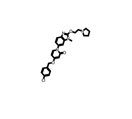 Cn1c(OCCN2CCCC2)nc2ccc(-n3ccc(OCc4ccc(Cl)cc4)cc3=O)cc21